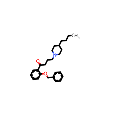 CCCCC1CCN(CCCC(=O)c2ccccc2OCc2ccccc2)CC1